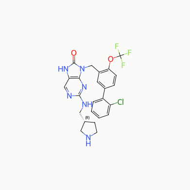 O=c1[nH]c2cnc(NC[C@@H]3CCNC3)nc2n1Cc1cc(-c2ccccc2Cl)ccc1OC(F)(F)F